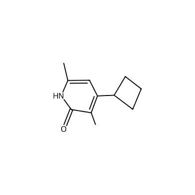 Cc1cc(C2CCC2)c(C)c(=O)[nH]1